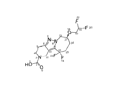 O=C(O)N1CCc2nn3c(c2C1)C(F)(F)CC[C@H](OCC(F)F)C3